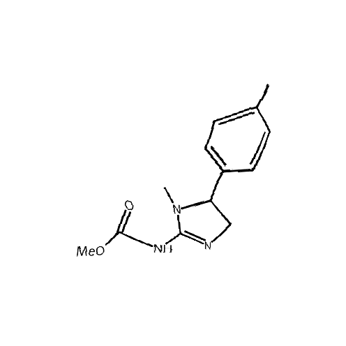 COC(=O)NC1=NCC(c2ccc(C)cc2)N1C